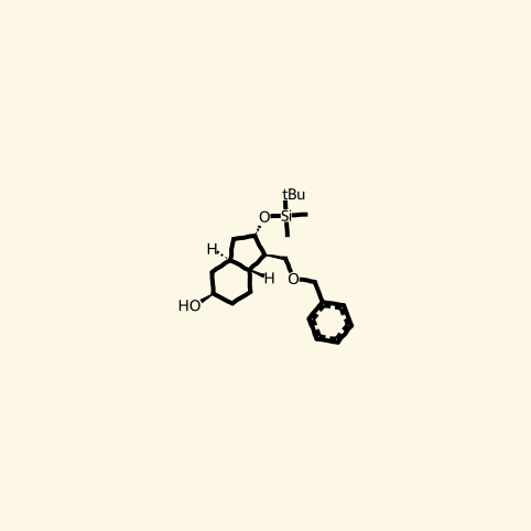 CC(C)(C)[Si](C)(C)O[C@H]1C[C@@H]2C[C@H](O)CC[C@H]2[C@@H]1COCc1ccccc1